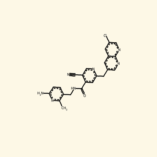 Cc1nc(N)ccc1CNC(=O)c1cc(Cc2cnc3ncc(Cl)cc3c2)ncc1C#N